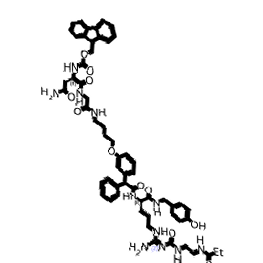 CCC(=O)NCCNC(=O)/N=C(/N)NCCC[C@@H](NC(=O)C(c1ccccc1)c1cccc(OCCCCNC(=O)CNC(=O)[C@@H](CC(N)=O)NC(=O)OCC2c3ccccc3-c3ccccc32)c1)C(=O)NCc1ccc(O)cc1